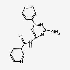 Nc1nc(NC(=O)c2cccnc2)nc(-c2ccccc2)n1